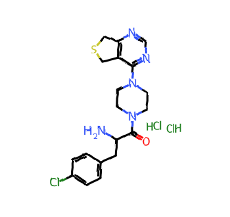 Cl.Cl.NC(Cc1ccc(Cl)cc1)C(=O)N1CCN(c2ncnc3c2CSC3)CC1